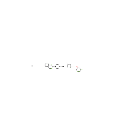 CCCCCc1cc(F)c2c(F)c(-c3ccc(C#Cc4cc(F)c(C(F)(F)Oc5cc(F)c(F)c(F)c5)cc4C)cc3)c(F)cc2c1